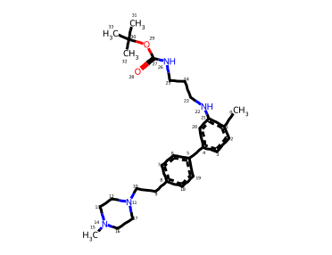 Cc1ccc(-c2ccc(CCN3CCN(C)CC3)cc2)cc1NCCCNC(=O)OC(C)(C)C